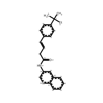 CCC(C)(C)c1ccc(C=CCC(=O)Nc2cnc3ccccc3c2)cc1